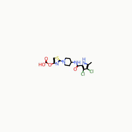 Cc1[nH]c(C(=O)NC2CCN(c3nc(OC(=O)O)cs3)CC2)c(Cl)c1Cl